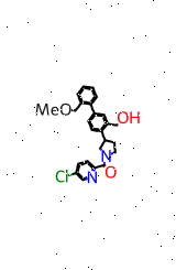 COCc1ccccc1-c1ccc(C2CCN(C(=O)c3ccc(Cl)cn3)C2)c(CO)c1